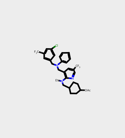 CCN(CC1CCC(OC(C)=O)CC1)c1ncc(C(F)(F)F)cc1CN(Cc1cc(Cl)cc(C(F)(F)F)c1)c1ccccc1